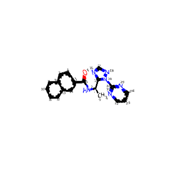 C[C@@H](NC(=O)c1ccc2ccccc2c1)c1ncnn1-c1ncccn1